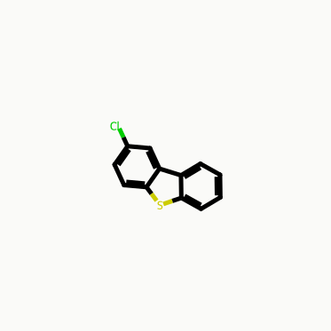 Clc1ccc2sc3ccccc3c2c1